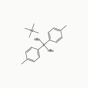 CCCC[B-](CCCC)(c1ccc(C)cc1)c1ccc(C)cc1.C[N+](C)(C)C